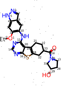 CCOc1cc2[nH]ncc2cc1Nc1ncnc2sc3c(c12)CCC(C(=O)N1CC[C@H](O)C1)C3